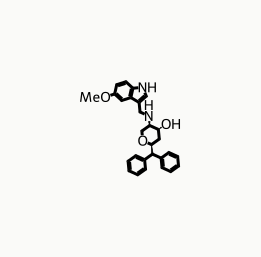 COc1ccc2[nH]cc(CN[C@@H]3CO[C@H](C(c4ccccc4)c4ccccc4)C[C@H]3O)c2c1